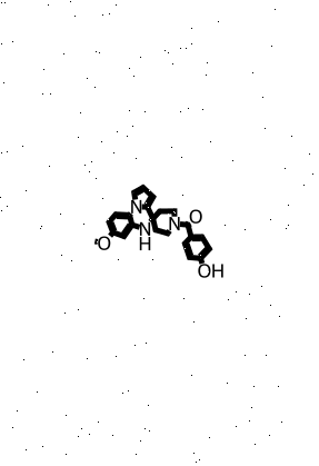 COc1ccc2c(c1)NC1(CCN(C(=O)c3ccc(O)cc3)CC1)c1cccn1-2